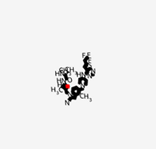 CC[C@@H](NC)C(=O)NC12CC(Cn3c(C#N)cc4c(C)c(CN5CCC(Nc6ncnc7sc(CC(F)(F)F)cc67)CC5)ccc43)(C1)[C@@H]2C